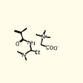 C=C(C)C(=O)NC(CC)N(C)C.C[N+](C)(C)CC(=O)[O-]